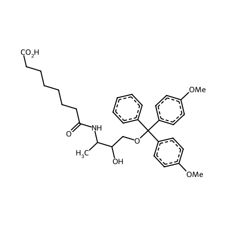 COc1ccc(C(OCC(O)C(C)NC(=O)CCCCCCC(=O)O)(c2ccccc2)c2ccc(OC)cc2)cc1